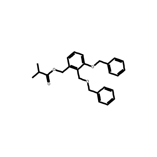 CC(C)C(=O)OCc1cccc(OCc2ccccc2)c1COCc1ccccc1